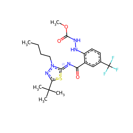 CCCCn1nc(C(C)(C)C)s/c1=N\C(=O)c1cc(C(F)(F)F)ccc1NNC(=O)OC